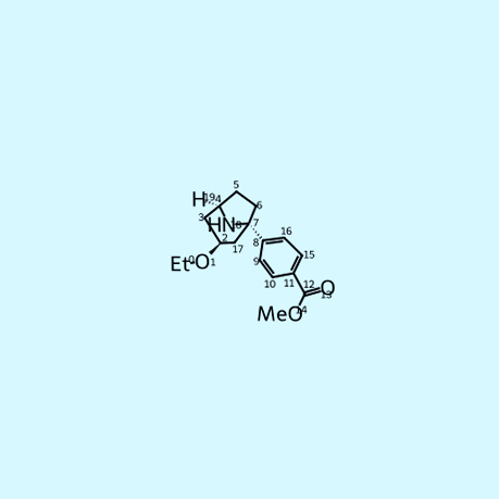 CCO[C@H]1C[C@H]2CC[C@@](c3ccc(C(=O)OC)cc3)(C1)N2